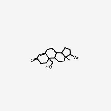 CC(=O)C1CCC2C3CCC4=CC(=O)CCC4(CO)C3CCC12C